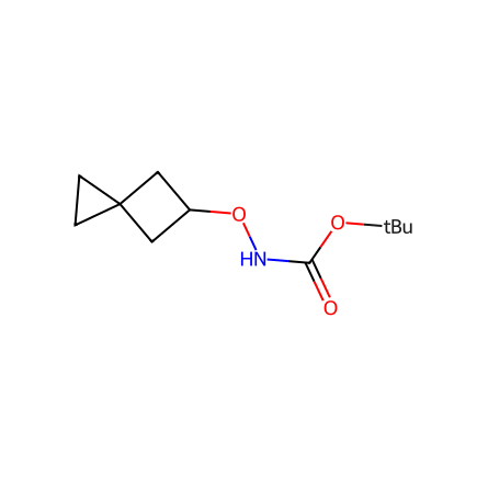 CC(C)(C)OC(=O)NOC1CC2(CC2)C1